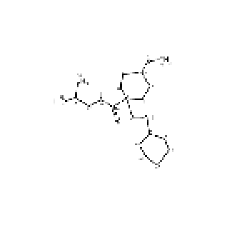 CSN1CCC(CNC2CCOCC2)(C(=O)NCC(C)C)CC1